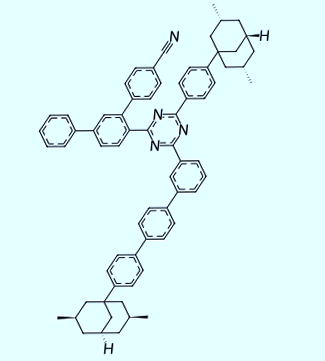 C[C@@H]1C[C@@H]2C[C@H](C)CC(c3ccc(-c4ccc(-c5cccc(-c6nc(-c7ccc(C89C[C@H](C)C[C@H](C[C@H](C)C8)C9)cc7)nc(-c7ccc(-c8ccccc8)cc7-c7ccc(C#N)cc7)n6)c5)cc4)cc3)(C1)C2